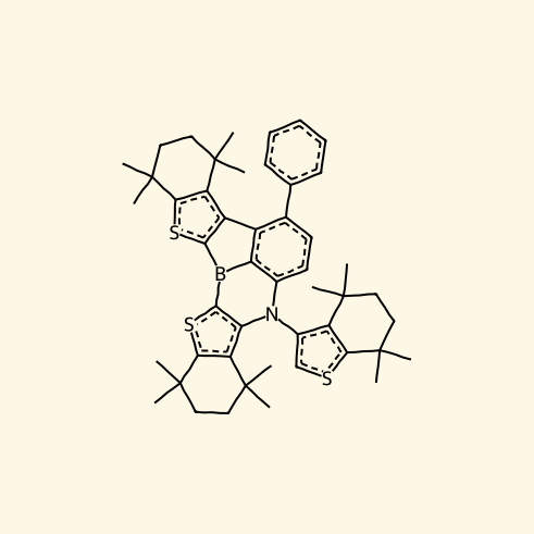 CC1(C)CCC(C)(C)c2c(N3c4ccc(-c5ccccc5)c5c4B(c4sc6c(c4-5)C(C)(C)CCC6(C)C)c4sc5c(c43)C(C)(C)CCC5(C)C)csc21